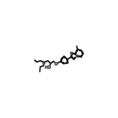 CCCN(CCC)CC(O)COc1ccc(-c2cn3cccc(C)c3n2)cc1